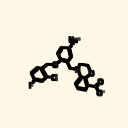 O=C([O-])c1cccc2c1OCCN2Cc1cc(F)ccc1OCc1ccc(F)cc1Cl.[Na+]